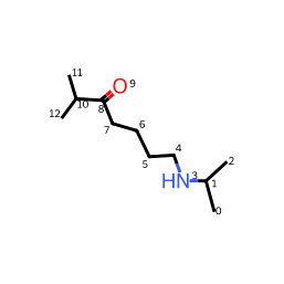 CC(C)NCCCCC(=O)C(C)C